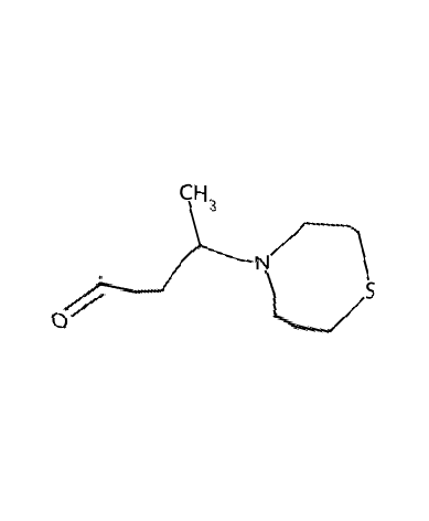 CC(C[C]=O)N1CCSCC1